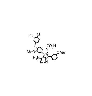 COc1cccc(-c2c(CCC(=O)O)c(-c3ccc(Oc4ccc(Cl)c(Cl)c4)c(OC)c3)c3c(N)ncnn23)c1